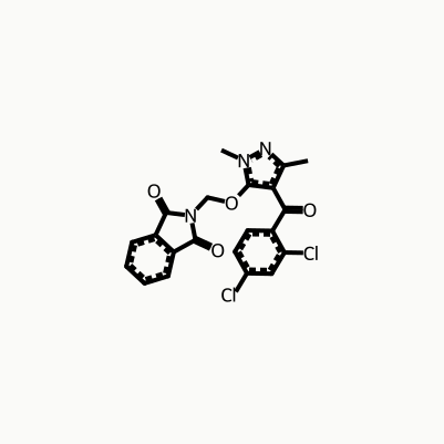 Cc1nn(C)c(OCN2C(=O)c3ccccc3C2=O)c1C(=O)c1ccc(Cl)cc1Cl